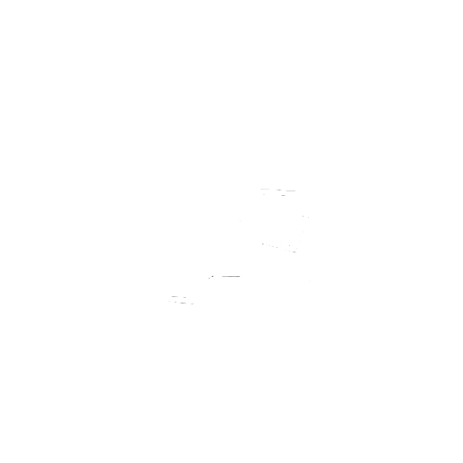 C=CC(=O)Oc1ccc(Cl)cc1Cl